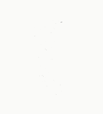 Cc1c(C)n(Cc2cc(O[C@@H](C)C(=O)O)cc(C(F)(F)F)c2)c2ccc(C(=O)N[C@@H](C)c3cccc(C(C)C)c3)cc12